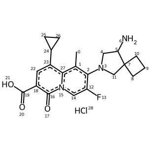 Cc1c(N2CC(N)C3(CCC3)C2)c(F)cn2c(=O)c(C(=O)O)cc(C3CC3)c12.Cl